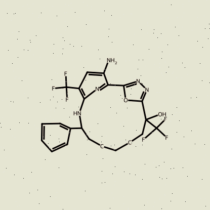 Nc1cc(C(F)(F)F)c2nc1-c1nnc(o1)C(O)(C(F)(F)F)CCCCCC(c1ccccc1)N2